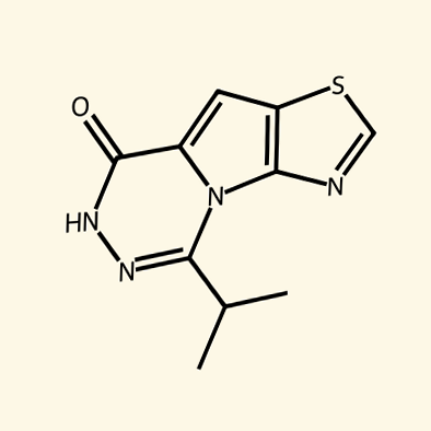 CC(C)c1n[nH]c(=O)c2cc3scnc3n12